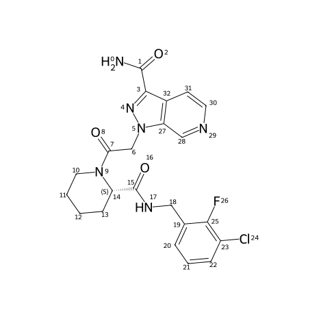 NC(=O)c1nn(CC(=O)N2CCCC[C@H]2C(=O)NCc2cccc(Cl)c2F)c2cnccc12